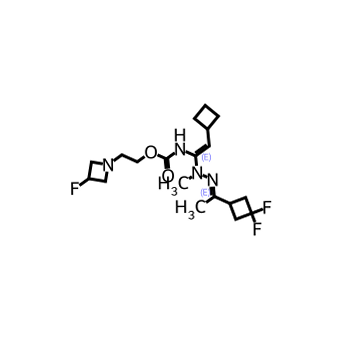 C/C(=N\N(C)/C(=C/C1CCC1)NC(=O)OCCN1CC(F)C1)C1CC(F)(F)C1